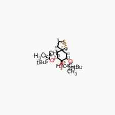 CC(C)(C)[Si](C)(C)O[C@@H]1CC2(CCSS2)C[C@@H](O[Si](C)(C)C(C)(C)C)C1=O